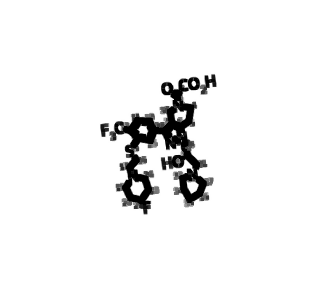 O=C(O)C(=O)N1CCc2c(c(-c3ccc(C(F)(F)F)c(SCCN4CCC(F)CC4)c3)nn2C[C@@H](O)CN2CCCCC2)C1